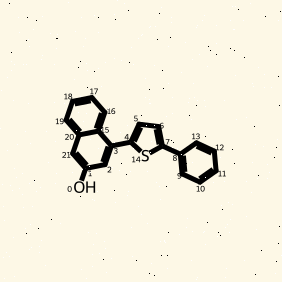 Oc1cc(-c2ccc(-c3ccccc3)s2)c2ccccc2c1